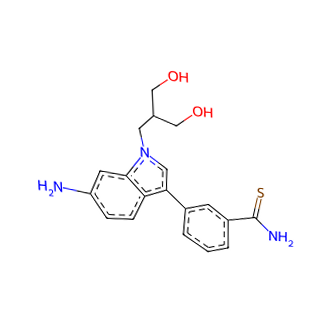 NC(=S)c1cccc(-c2cn(CC(CO)CO)c3cc(N)ccc23)c1